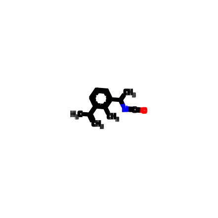 C=C(C)c1cccc(C(C)N=C=O)c1C